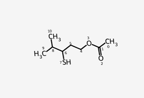 CC(=O)OCCC(S)C(C)C